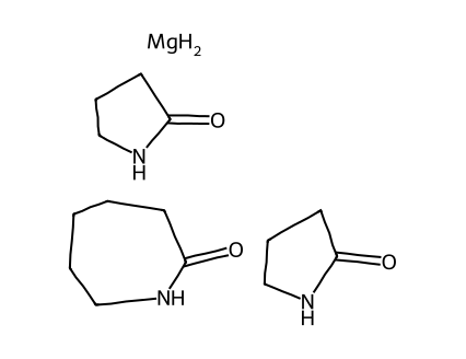 O=C1CCCCCN1.O=C1CCCN1.O=C1CCCN1.[MgH2]